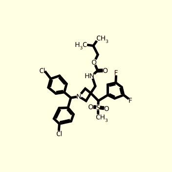 CC(C)COC(=O)NCC1(C(c2cc(F)cc(F)c2)S(C)(=O)=O)CN(C(c2ccc(Cl)cc2)c2ccc(Cl)cc2)C1